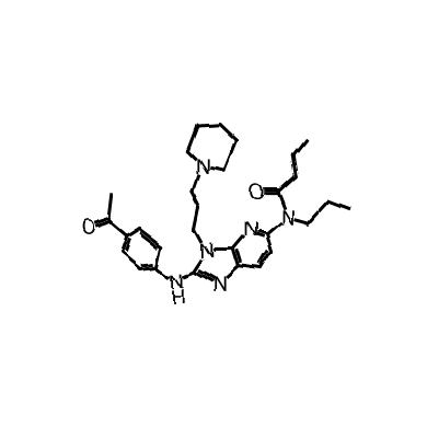 CCCC(=O)N(CCC)c1ccc2nc(Nc3ccc(C(C)=O)cc3)n(CCCN3CCCCC3)c2n1